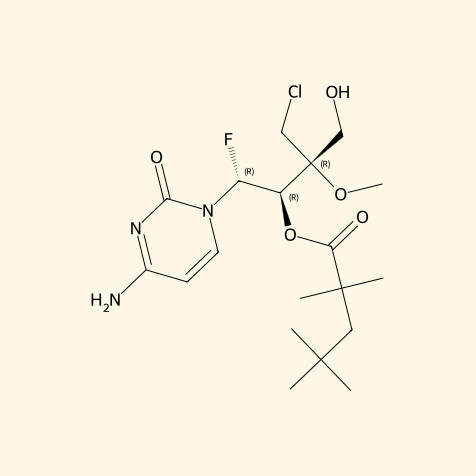 CO[C@@](CO)(CCl)[C@@H](OC(=O)C(C)(C)CC(C)(C)C)[C@@H](F)n1ccc(N)nc1=O